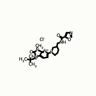 Cn1c2c(n(CC(C)(C)C)c1=O)=CC=C(N1CCCC(CNC(=O)c3cnco3)C1)[N+]=2.[Cl-]